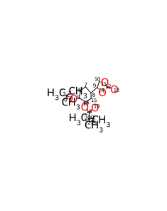 CC(C)(C)OC1CCC(C2COC(=O)O2)CC1OC(=O)C(C)(C)C